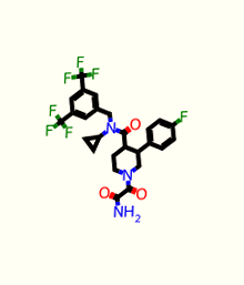 NC(=O)C(=O)N1CCC(C(=O)N(Cc2cc(C(F)(F)F)cc(C(F)(F)F)c2)C2CC2)C(c2ccc(F)cc2)C1